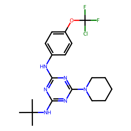 CC(C)(C)Nc1nc(Nc2ccc(OC(F)(F)Cl)cc2)nc(N2CCCCC2)n1